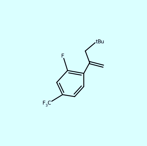 C=C(CC(C)(C)C)c1ccc(C(F)(F)F)cc1F